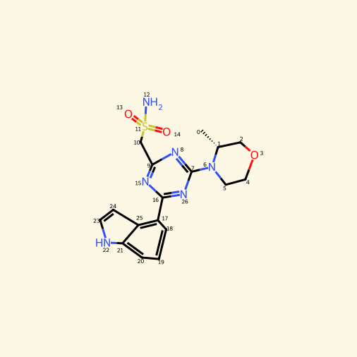 C[C@@H]1COCCN1c1nc(CS(N)(=O)=O)nc(-c2cccc3[nH]ccc23)n1